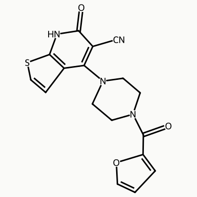 N#Cc1c(N2CCN(C(=O)c3ccco3)CC2)c2ccsc2[nH]c1=O